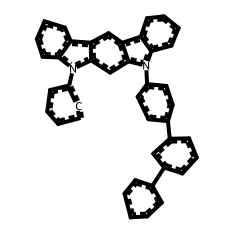 c1ccc(-c2cccc(-c3ccc(-n4c5ccccc5c5cc6c7ccccc7n(-c7ccccc7)c6cc54)cc3)c2)cc1